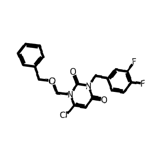 O=c1cc(Cl)n(COCc2ccccc2)c(=O)n1Cc1ccc(F)c(F)c1